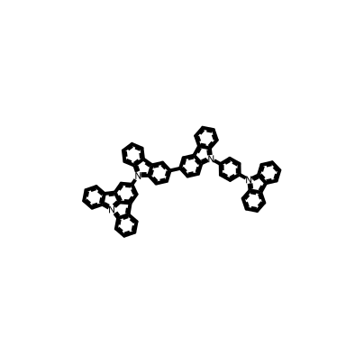 c1ccc2c(c1)c1ccccc1n2-c1ccc(-n2c3ccccc3c3cc(-c4ccc5c(c4)c4ccccc4n5-c4cc5c6ccccc6n6c7ccccc7c(c4)c56)ccc32)cc1